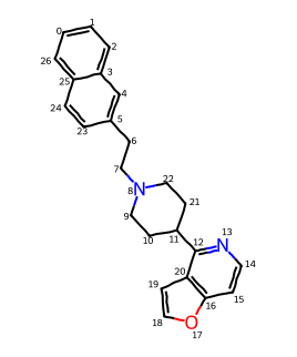 c1ccc2cc(CCN3CCC(c4nccc5occc45)CC3)ccc2c1